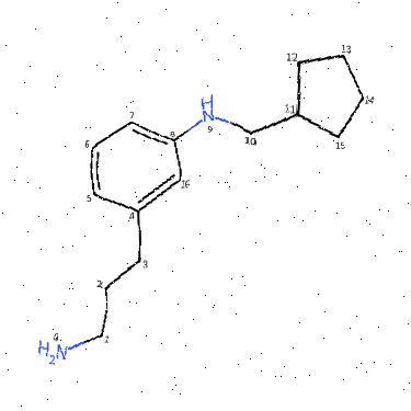 NCCCc1cccc(NCC2CCCC2)c1